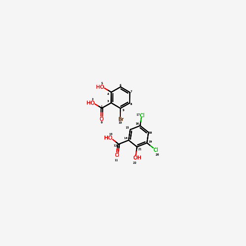 O=C(O)c1c(O)cccc1Br.O=C(O)c1cc(Cl)cc(Cl)c1O